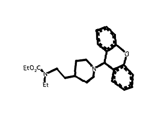 CCOC(=O)N(CC)CCC1CCN(C2c3ccccc3Oc3ccccc32)CC1